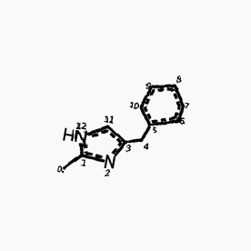 [CH2]c1nc(Cc2ccccc2)c[nH]1